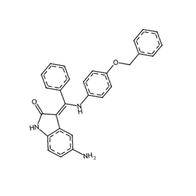 Nc1ccc2c(c1)C(=C(Nc1ccc(OCc3ccccc3)cc1)c1ccccc1)C(=O)N2